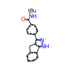 CC(C)(C)NC(=O)c1ccc(-c2n[nH]c3c2Cc2ccccc2-3)cc1